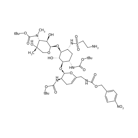 CN(C(=O)OC(C)(C)C)[C@@H]1[C@@H](O)[C@@H](O[C@@H]2[C@@H](O)[C@H](O[C@H]3OC(CNC(=O)OCc4ccc([N+](=O)[O-])cc4)=CC[C@H]3NC(=O)OC(C)(C)C)[C@@H](NC(=O)OC(C)(C)C)C[C@H]2NS(=O)(=O)CCN)OC[C@]1(C)O